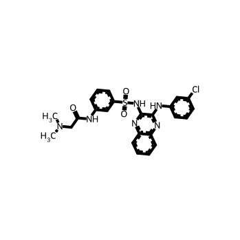 CN(C)CC(=O)Nc1cccc(S(=O)(=O)Nc2nc3ccccc3nc2Nc2cccc(Cl)c2)c1